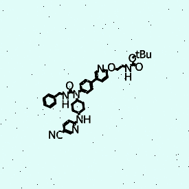 CC(C)(C)OC(=O)NCCOc1ccc(-c2ccc(N(C(=O)NCc3ccccc3)C3CCC(Nc4ccc(C#N)cn4)CC3)cc2)cn1